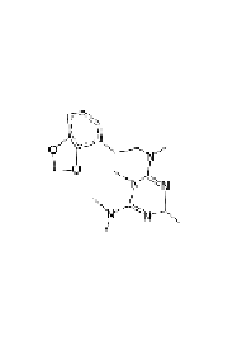 CC1N=C(N(C)C)N(C)C(N(C)CCc2cccc3c2OCO3)=N1